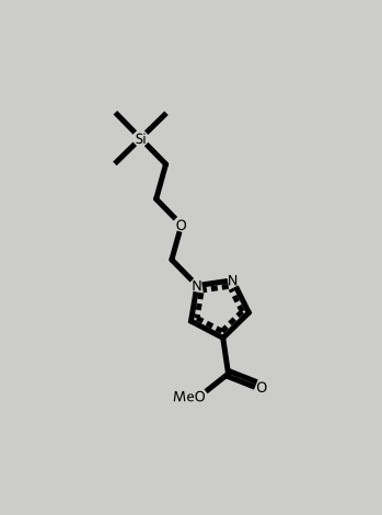 COC(=O)c1cnn(COCC[Si](C)(C)C)c1